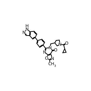 Cc1nc2c(=O)n(CC3CCN(C(=O)C4CC4)C3)c(-c3ccc(-c4ccc5[nH]ncc5c4)cc3)nc2o1